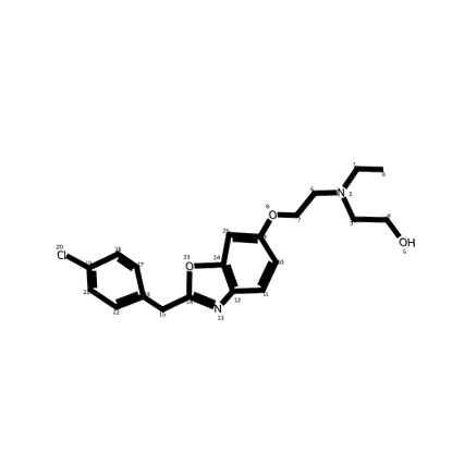 CCN(CCO)CCOc1ccc2nc(Cc3ccc(Cl)cc3)oc2c1